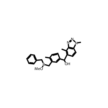 COB(Cc1ccccc1)Cc1cc(C(O)c2ccc3c(nnn3C)c2C)ccc1C